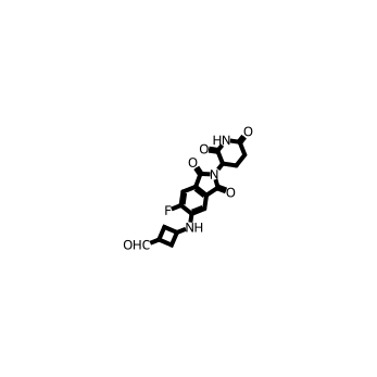 O=CC1CC(Nc2cc3c(cc2F)C(=O)N(C2CCC(=O)NC2=O)C3=O)C1